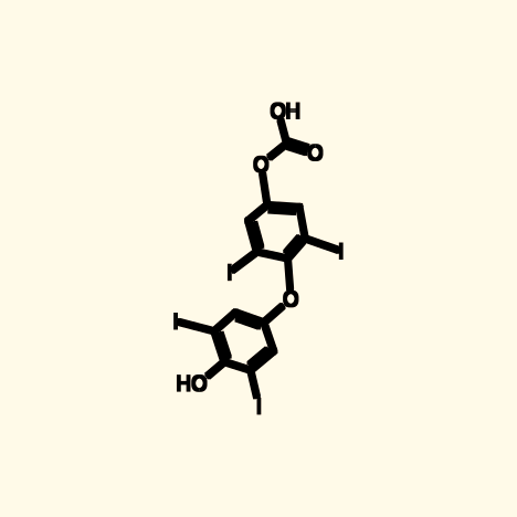 O=C(O)Oc1cc(I)c(Oc2cc(I)c(O)c(I)c2)c(I)c1